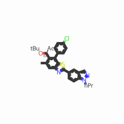 CCCn1ncc2cc(-c3nc4cc(C)c([C@H](OC(C)(C)C)C(C)=O)c(-c5ccc(Cl)cc5)c4s3)ccc21